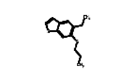 CCCSc1cc2sccc2cc1CC